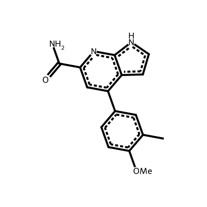 COc1ccc(-c2cc(C(N)=O)nc3[nH]ccc23)cc1C